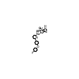 CS(=O)(=O)N[C@H](CNc1cccc(-c2ccc(Oc3ccc(F)cc3)cc2)n1)Cc1c[nH]cn1